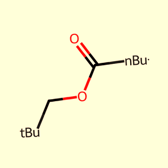 CCC[CH]C(=O)OCC(C)(C)C